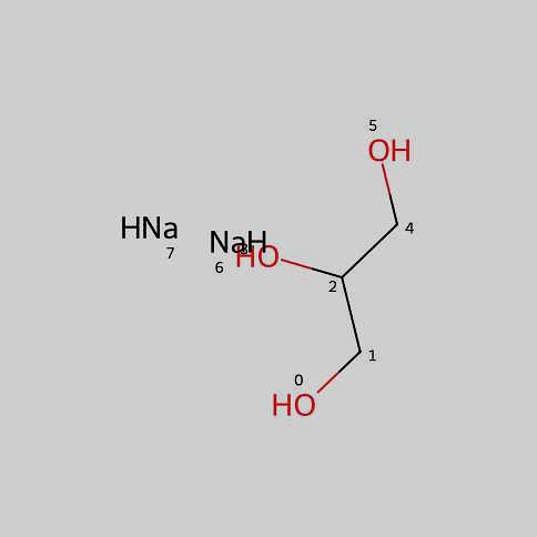 OCC(O)CO.[NaH].[NaH]